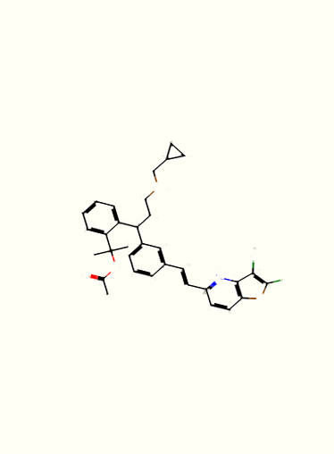 CC(=O)OC(C)(C)c1ccccc1C(CCSCC1CC1)c1cccc(C=Cc2ccc3sc(Cl)c(Cl)c3n2)c1